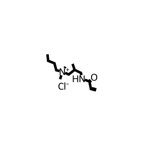 C=CC(=O)NCC(C)C[N+](C)(C)CCCC.[Cl-]